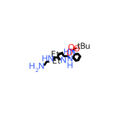 CCC(CC)(NCCCN)c1ccc(C(=O)Nc2ccccc2NC(=O)OC(C)(C)C)nc1